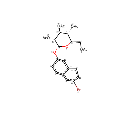 CC(=O)OC[C@H]1O[C@H](Oc2ccc3cc(Br)ccc3c2)[C@H](OC(C)=O)[C@@H](OC(C)=O)[C@@H]1OC(C)=O